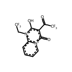 O=C(c1c(O)n(CC(F)(F)F)c2cccc[n+]2c1=O)C(F)(F)F